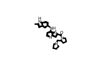 Cc1cc2cc(Nc3ccnc4cc(C(=O)N5CCCC5CN5CCCC5)sc34)ccc2[nH]1